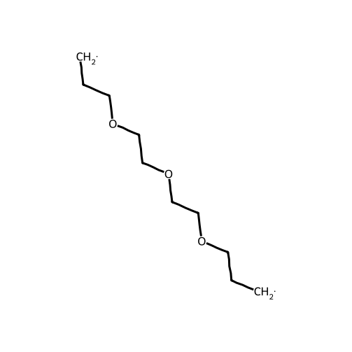 [CH2]CCOCCOCCOCC[CH2]